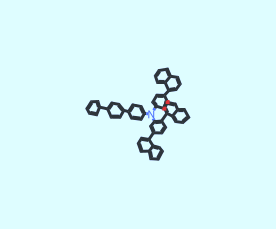 c1ccc(-c2ccc(-c3ccc(N(c4ccc(-c5cccc6ccccc56)cc4)c4cc(-c5cccc6ccccc56)ccc4-c4cccc5ccccc45)cc3)cc2)cc1